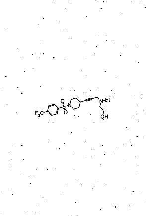 CCN(CC#CC1CCN(S(=O)(=O)c2ccc(C(F)(F)F)cc2)CC1)CCO